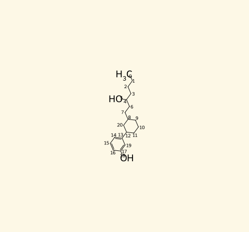 CCCCC(O)CCC1CCCC(c2cccc(O)c2)C1